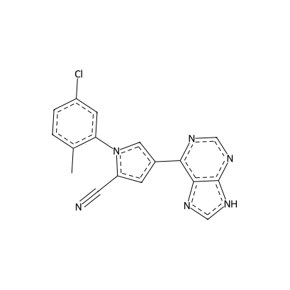 Cc1ccc(Cl)cc1-n1cc(-c2ncnc3[nH]cnc23)cc1C#N